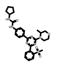 CC1COCCN1c1nc(-c2ccc(NC(=O)NC3CCCC3)cc2)nc(-c2ccccc2S(C)(=O)=O)n1